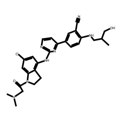 CC(CO)CNc1ccc(-c2ccnc(Nc3cc(Cl)cc4c3CCN4C(=O)CN(C)C)n2)cc1C#N